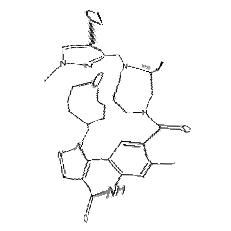 Cc1cc2[nH]c(=O)c3cnn(C4CCOCC4)c3c2cc1C(=O)N1CCN(Cc2nn(C)cc2Cl)[C@@H](C)C1